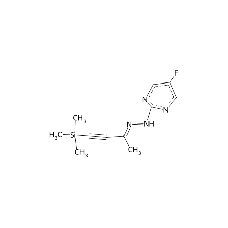 C/C(C#C[Si](C)(C)C)=N\Nc1ncc(F)cn1